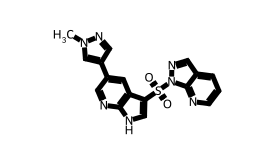 Cn1cc(-c2cnc3[nH]cc(S(=O)(=O)n4ncc5cccnc54)c3c2)cn1